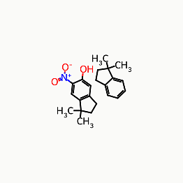 CC1(C)CCc2cc(O)c([N+](=O)[O-])cc21.CC1(C)CCc2ccccc21